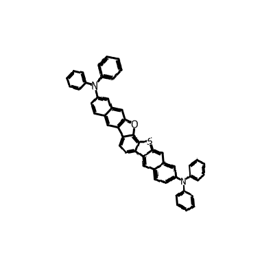 c1ccc(N(c2ccccc2)c2ccc3cc4c(cc3c2)oc2c4ccc3c4cc5ccc(N(c6ccccc6)c6ccccc6)cc5cc4sc32)cc1